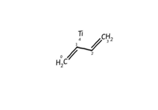 C=CC=C.[Ti]